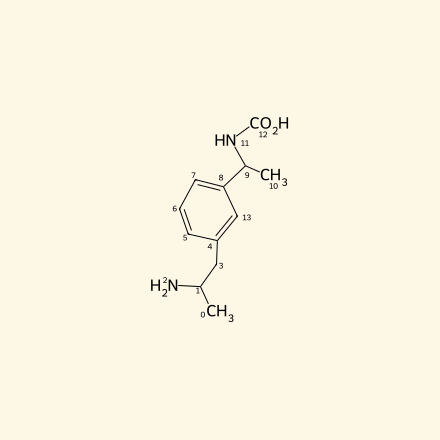 CC(N)Cc1cccc(C(C)NC(=O)O)c1